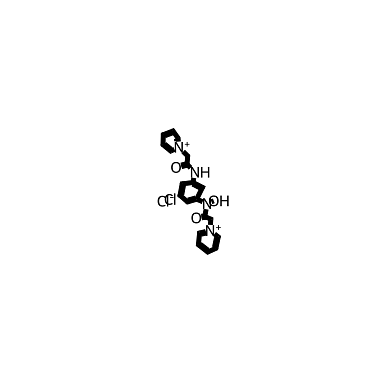 O=C(C[n+]1ccccc1)Nc1cccc(N(O)C(=O)C[n+]2ccccc2)c1.[Cl-].[Cl-]